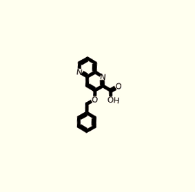 O=C(O)c1nc2cccnc2cc1OCc1ccccc1